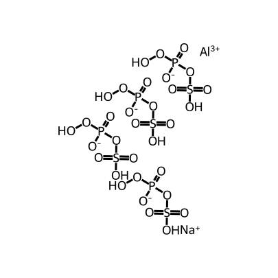 O=P([O-])(OO)OS(=O)(=O)O.O=P([O-])(OO)OS(=O)(=O)O.O=P([O-])(OO)OS(=O)(=O)O.O=P([O-])(OO)OS(=O)(=O)O.[Al+3].[Na+]